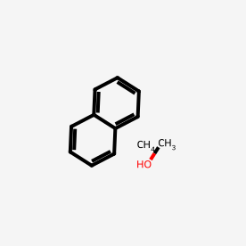 C.CO.c1ccc2ccccc2c1